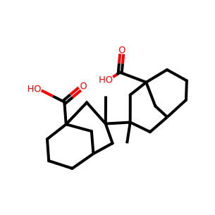 CC1(C2(C)CC3CCCC(C(=O)O)(C3)C2)CC2CCCC(C(=O)O)(C2)C1